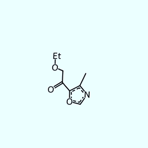 CCOCC(=O)c1ocnc1C